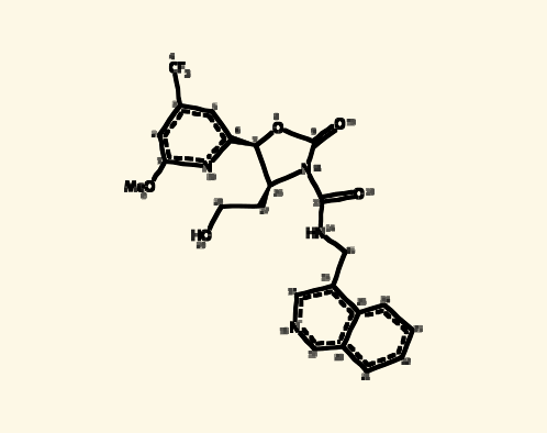 COc1cc(C(F)(F)F)cc([C@H]2OC(=O)N(C(=O)NCc3cncc4ccccc34)[C@H]2CCO)n1